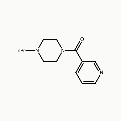 CCCN1CCN(C(=O)c2cccnc2)CC1